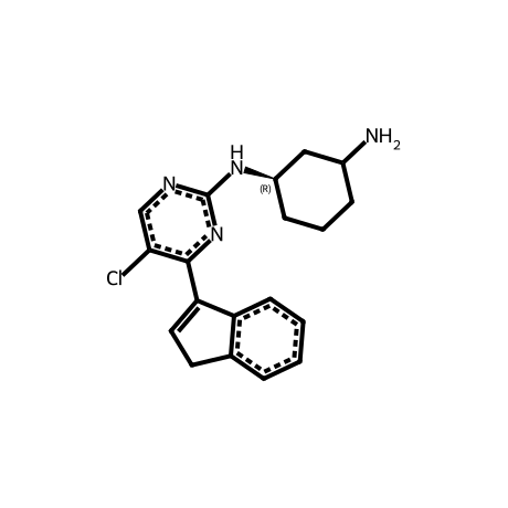 NC1CCC[C@@H](Nc2ncc(Cl)c(C3=CCc4ccccc43)n2)C1